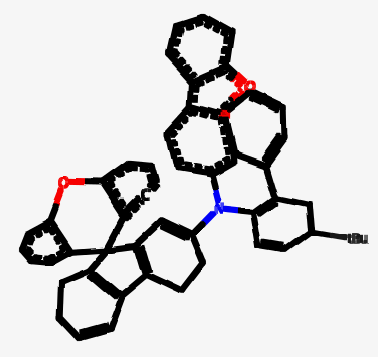 CC(C)(C)C1C=CC(N(C2=CC3=C(CC2)C2=C(CCC=C2)C32c3ccccc3Oc3ccccc32)c2ccc3c(c2)oc2ccccc23)=C(C2=CC=CCC2)C1